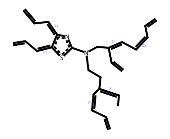 C=C/C=C\C=C(/C=C)CN(CCC(/C=C\C=C)=C/C)c1nc(=C/C=C)/c(=C\C=C)s1